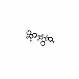 O=C(Nc1ccc2c(c1)NC(=O)C21CCOCC1)C(Nc1nc2cc(F)ccc2o1)C1CCCCC1